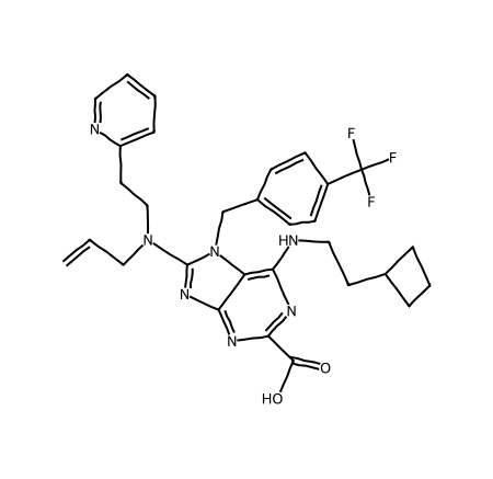 C=CCN(CCc1ccccn1)c1nc2nc(C(=O)O)nc(NCCC3CCC3)c2n1Cc1ccc(C(F)(F)F)cc1